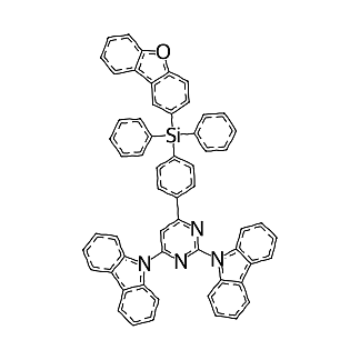 c1ccc([Si](c2ccccc2)(c2ccc(-c3cc(-n4c5ccccc5c5ccccc54)nc(-n4c5ccccc5c5ccccc54)n3)cc2)c2ccc3oc4ccccc4c3c2)cc1